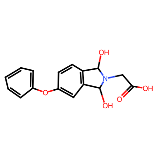 O=C(O)CN1C(O)c2ccc(Oc3ccccc3)cc2C1O